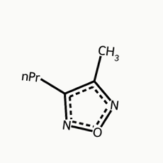 CCCc1nonc1C